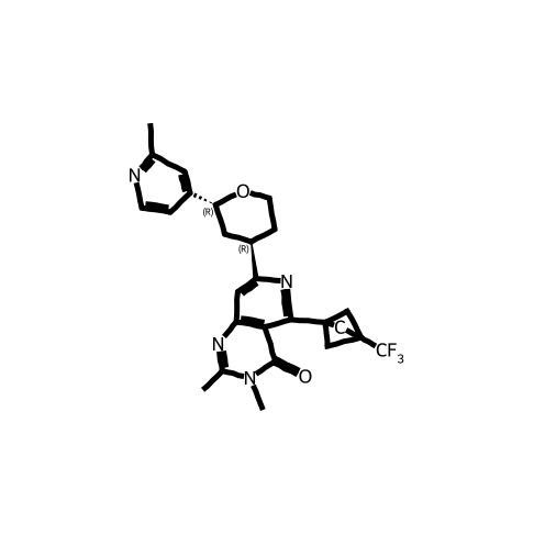 Cc1cc([C@H]2C[C@H](c3cc4nc(C)n(C)c(=O)c4c(C45CC(C(F)(F)F)(C4)C5)n3)CCO2)ccn1